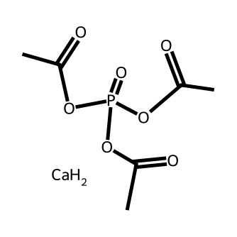 CC(=O)OP(=O)(OC(C)=O)OC(C)=O.[CaH2]